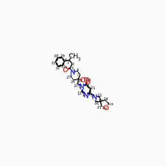 CC(CC(=O)N1CCC(O)(Cn2cnc(N3CC4(CCOC4)C3)cc2=O)CC1)c1ccccc1